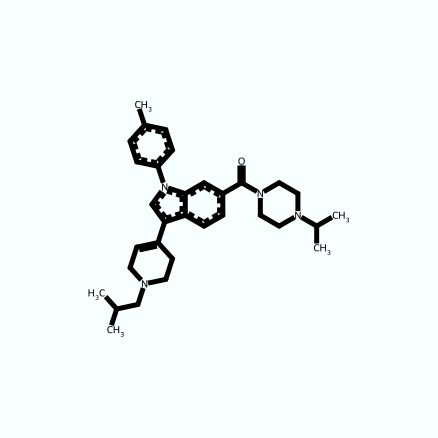 Cc1ccc(-n2cc(C3=CCN(CC(C)C)CC3)c3ccc(C(=O)N4CCN(C(C)C)CC4)cc32)cc1